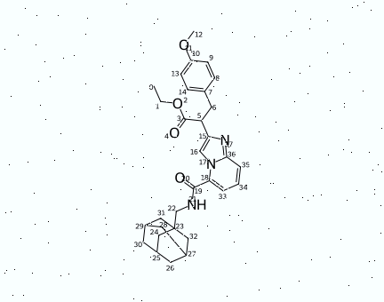 CCOC(=O)C(Cc1ccc(OC)cc1)c1cn2c(C(=O)NCC34CC5CC(CC(C5)C3)C4)cccc2n1